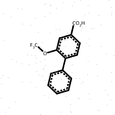 O=C(O)c1ccc(-c2ccccc2)c(OC(F)(F)F)c1